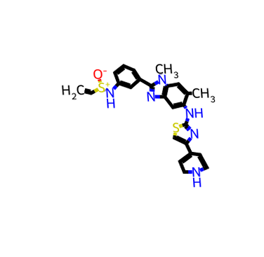 C=C[S+]([O-])Nc1cccc(-c2nc3cc(Nc4nc(C5=CCNC=C5)cs4)c(C)cc3n2C)c1